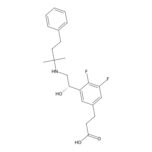 CC(C)(CCc1ccccc1)NC[C@@H](O)c1cc(CCC(=O)O)cc(F)c1F